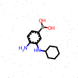 Nc1ccc(B(O)O)cc1NC1CCCCC1